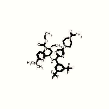 CCOC(=O)N1c2ccc(N(C)C)nc2[C@@H](NC(c2cc(C(F)(F)F)cc(C(F)(F)F)c2)c2ncc(N3CCN(C(C)=O)CC3)cn2)C[C@H]1CC